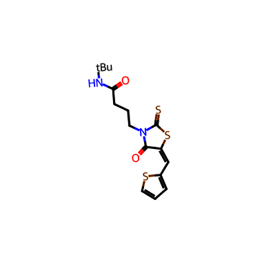 CC(C)(C)NC(=O)CCCN1C(=O)/C(=C\c2cccs2)SC1=S